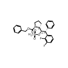 CS(=O)(=O)O[C@H]([C@H](c1ccccc1)c1cccc(F)c1F)[C@H]1CCCN1C(=O)OCc1ccccc1